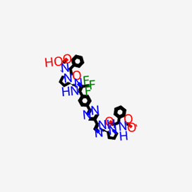 COC(=O)N[C@@H](C(=O)N1CCC[C@H]1c1ncc(-c2cnc(-c3ccc(-c4[nH]c([C@@H]5CCCN5C(=O)[C@@H](c5ccccc5)N(C)C(=O)O)nc4C(F)(F)F)cc3)nc2)[nH]1)c1ccccc1